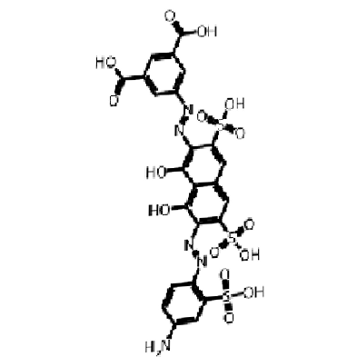 Nc1ccc(/N=N/c2c(S(=O)(=O)O)cc3cc(S(=O)(=O)O)c(/N=N/c4cc(C(=O)O)cc(C(=O)O)c4)c(O)c3c2O)c(S(=O)(=O)O)c1